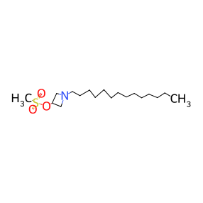 CCCCCCCCCCCCCCN1CC(OS(C)(=O)=O)C1